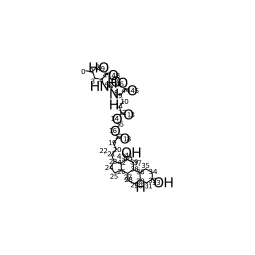 CC(C)C[C@H](NC(=O)N[C@@H](CCC(=O)OCOC(=O)CC[C@@H](C)C1CCC2C3CC[C@@H]4C[C@H](O)CC[C@]4(C)C3C[C@H](O)[C@@]21C)C(=O)O)C(=O)O